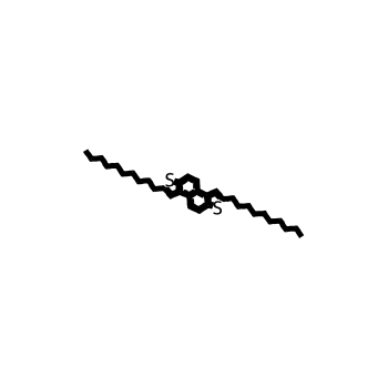 CCCCCCCCCCc1cc2c(ccc3c4cc(CCCCCCCCCC)sc4ccc23)s1